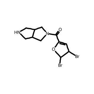 O=C(C1=CC(Br)C(Br)O1)N1CC2CNCC2C1